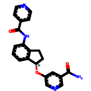 NC(=O)c1cncc(O[C@H]2CCc3c(NC(=O)c4ccncc4)cccc32)c1